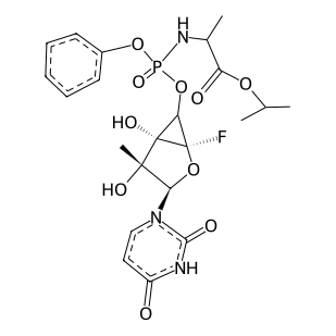 CC(C)OC(=O)C(C)NP(=O)(Oc1ccccc1)OC1[C@]2(O)[C@@](C)(O)[C@H](n3ccc(=O)[nH]c3=O)O[C@]12F